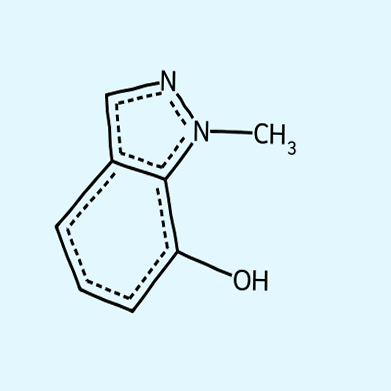 Cn1ncc2cccc(O)c21